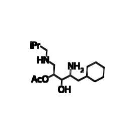 CC(=O)OC(CNCC(C)C)C(O)C(N)CC1CCCCC1